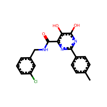 Cc1ccc(-c2nc(O)c(O)c(C(=O)NCc3cccc(Cl)c3)n2)cc1